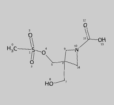 CS(=O)(=O)OCC1(CO)CN(C(=O)O)C1